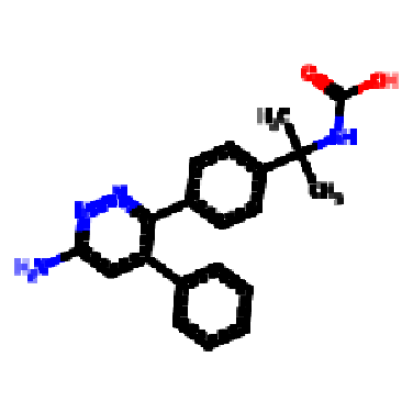 CC(C)(NC(=O)O)c1ccc(-c2nnc(N)cc2-c2ccccc2)cc1